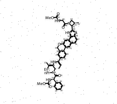 C/C=C(\N/C(CN(CCC)C(=O)[C@H](NC(=O)OC)c1ccccc1)=C(\C)CC)c1ccc2c(c1)COc1cc3c(ccc4nc(C5[C@H](C)CN5C(=O)CNC(=O)OC)[nH]c43)cc1-2